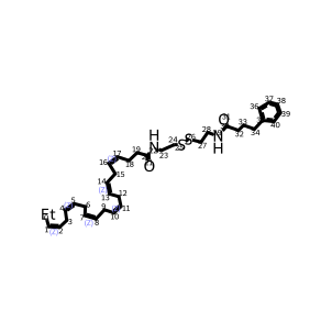 CC/C=C\C/C=C\C/C=C\C/C=C\C/C=C\C/C=C\CCC(=O)NCCSSCCNC(=O)CCCc1ccccc1